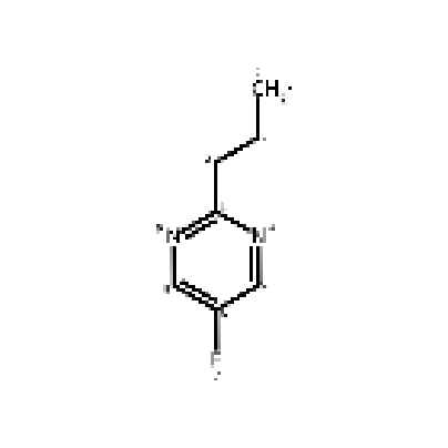 [CH2]CCc1ncc(F)cn1